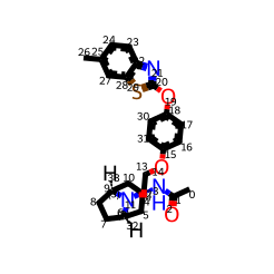 CC(=O)N[C@H]1C[C@H]2CC[C@@H](C1)N2CCOc1ccc(Oc2nc3ccc(C)cc3s2)cc1